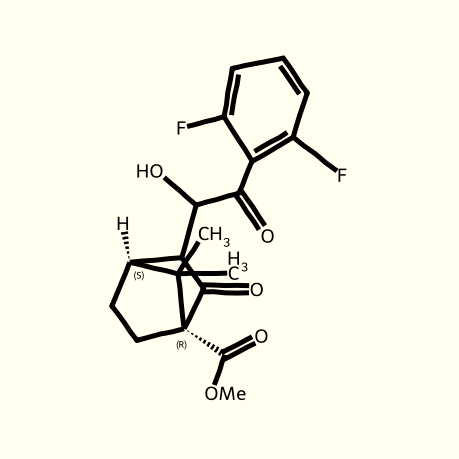 COC(=O)[C@@]12CC[C@@H](C(C(O)C(=O)c3c(F)cccc3F)C1=O)C2(C)C